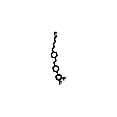 FC=CCCCCC1CCC(CCC2CCC(c3ccc(F)c(F)c3)CC2)CC1